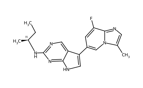 CC[C@H](C)Nc1ncc2c(-c3cc(F)c4ncc(C)n4c3)c[nH]c2n1